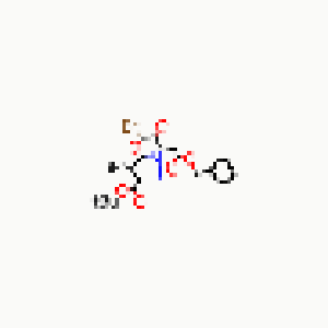 CC(C)C(CC(=O)OC(C)(C)C)C(=O)NC(CC(=O)OCc1ccccc1)C(=O)CBr